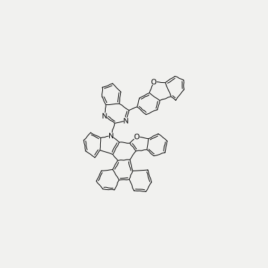 c1ccc2c(-c3ccc4c(c3)oc3ccccc34)nc(-n3c4ccccc4c4c5c6ccccc6c6ccccc6c5c5c6ccccc6oc5c43)nc2c1